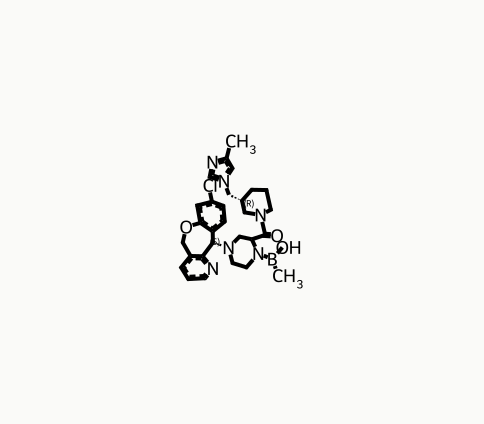 CB(O)N1CCN([C@H]2c3ccc(Cl)cc3OCc3cccnc32)CC1C(=O)N1CCC[C@@H](Cn2cnc(C)c2)C1